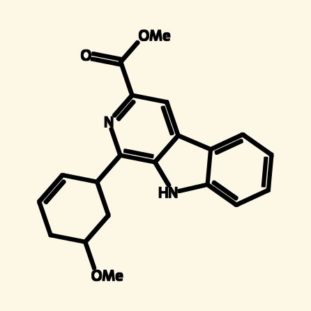 COC(=O)c1cc2c([nH]c3ccccc32)c(C2C=CCC(OC)C2)n1